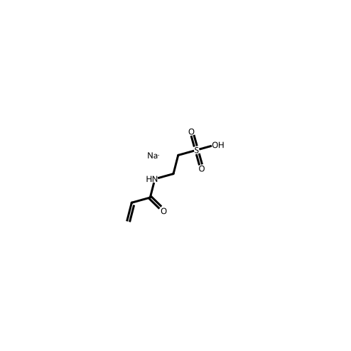 C=CC(=O)NCCS(=O)(=O)O.[Na]